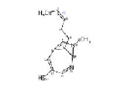 C/C=C\CCC1C2=CN(C)C1N=CC(S)=C2